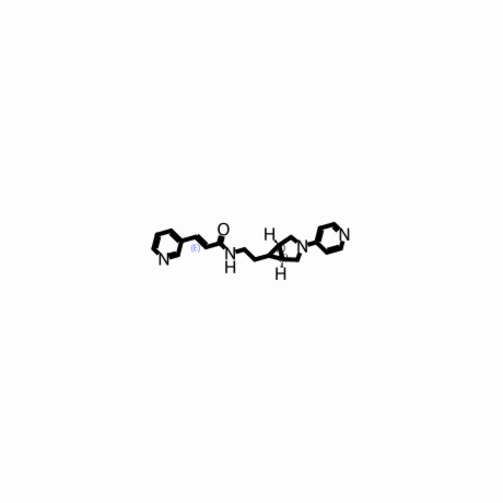 O=C(/C=C/c1cccnc1)NCCC1[C@H]2CN(c3ccncc3)C[C@@H]12